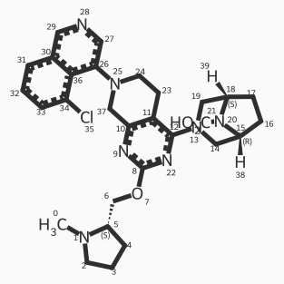 CN1CCC[C@H]1COc1nc2c(c(N3C[C@H]4CC[C@@H](C3)N4C(=O)O)n1)CCN(c1cncc3cccc(Cl)c13)C2